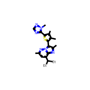 CCC(CC)c1cc(C)nn2c(-c3sc(-c4ncnn4C)c(C)c3C)c(C)nc12